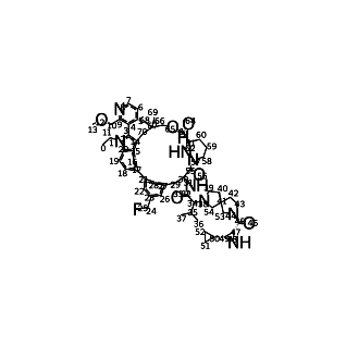 CCn1c(-c2cccnc2[C@H](C)OC)c2c3cc(ccc31)-c1cc(CF)cc(c1)C[C@H](NC(=O)[C@H](C(C)C)N1CC[C@]3(CCN(C(=O)[C@@H]4N[C@@H]4C4CC4)C3)C1)C(=O)N1CCC[C@H](N1)C(=O)OCC(C)(C)C2